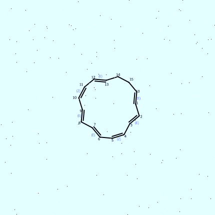 [C]1=C/C=C/C=C\C=C\C=C\C=C/C=C/CC/1